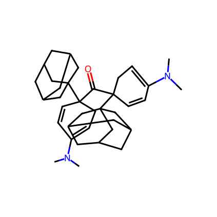 CN(C)C1=CCC(C(=O)C2(C34CC5CC(CC(C5)C3)C4)C=CC(N(C)C)=CC2)(C23CC4CC(CC(C4)C2)C3)C=C1